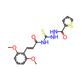 COc1cccc(OC)c1C=CC(=O)NC(=S)NNC(=O)c1cccs1